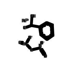 O=[PH]([O-])O[PH](=O)[O-].OC(Cl)c1ccccc1.[Pd+2]